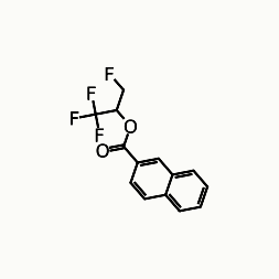 O=C(OC(CF)C(F)(F)F)c1ccc2ccccc2c1